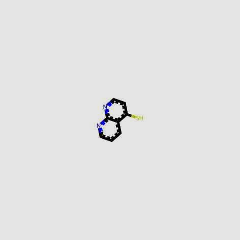 Sc1ccnc2ncccc12